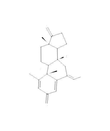 CC=C1C[C@@H]2[C@H](CC[C@]3(C)C(=O)CC[C@@H]23)[C@@]2(C)C(C)=CC(=O)C=C12